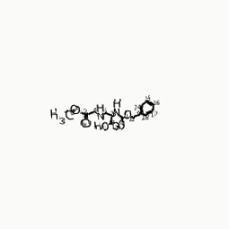 COC(=O)CNCC(NC(=O)OCc1ccccc1)C(=O)O